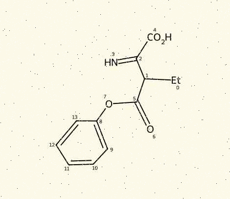 CCC(C(=N)C(=O)O)C(=O)Oc1ccccc1